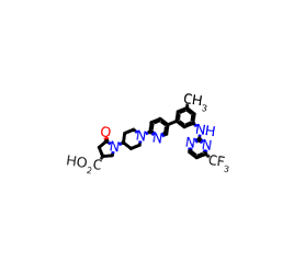 Cc1cc(Nc2nccc(C(F)(F)F)n2)cc(-c2ccc(N3CCC(N4CC(C(=O)O)CC4=O)CC3)nc2)c1